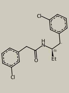 [CH2]C[C@H]([CH]c1cccc(Cl)c1)NC(=O)Cc1cccc(Cl)c1